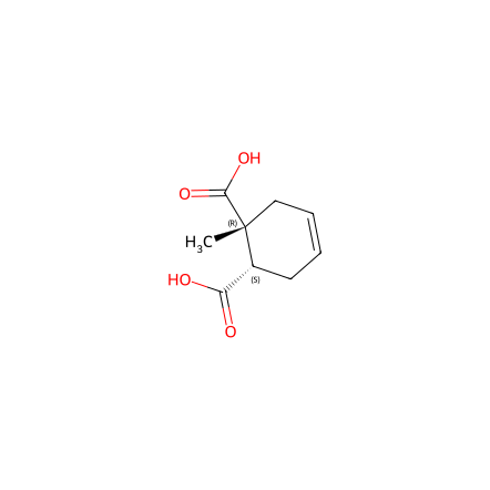 C[C@@]1(C(=O)O)CC=CC[C@@H]1C(=O)O